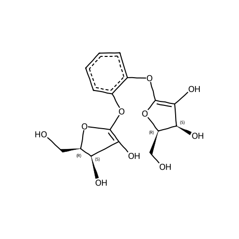 OC[C@H]1OC(Oc2ccccc2OC2=C(O)[C@@H](O)[C@@H](CO)O2)=C(O)[C@H]1O